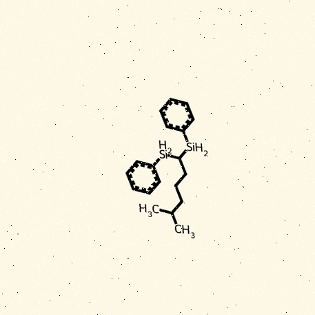 CC(C)CCCC([SiH2]c1ccccc1)[SiH2]c1ccccc1